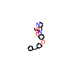 CCS(=O)(=O)N(Cc1cccnc1)c1ccc(Oc2ccc(Cc3ccccc3)cc2)cc1